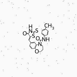 Cc1ccc(NC(=O)N2CCCOc3ccc(C=C4SC(=S)NC4=O)cc32)cc1